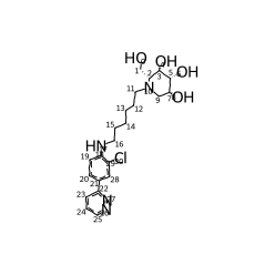 OC[C@@H]1[C@@H](O)[C@H](O)[C@@H](O)CN1CCCCCCNc1ccc(-c2cccnn2)cc1Cl